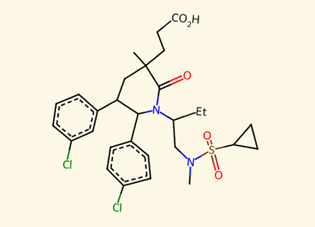 CCC(CN(C)S(=O)(=O)C1CC1)N1C(=O)C(C)(CCC(=O)O)CC(c2cccc(Cl)c2)C1c1ccc(Cl)cc1